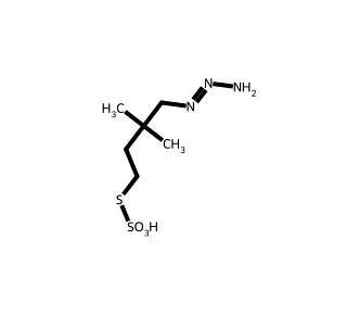 CC(C)(CCSS(=O)(=O)O)CN=NN